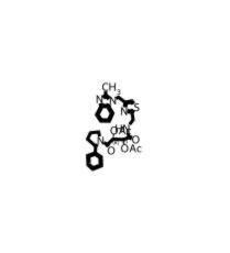 CC(=O)O[C@@H](C(=O)NCc1nc(Cn2c(C)nc3ccccc32)cs1)[C@@H](OC(C)=O)C(=O)N1CCCC1c1ccccc1